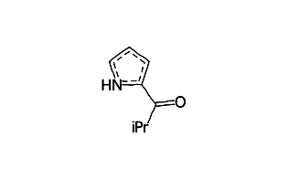 CC(C)C(=O)c1ccc[nH]1